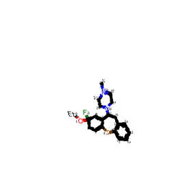 CCOC1(F)C=C2C(=CC1)Sc1ccccc1CC2N1CCN(C)CC1